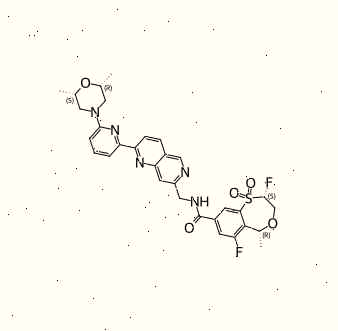 C[C@@H]1CN(c2cccc(-c3ccc4cnc(CNC(=O)c5cc(F)c6c(c5)S(=O)(=O)[C@H](F)CO[C@@H]6C)cc4n3)n2)C[C@H](C)O1